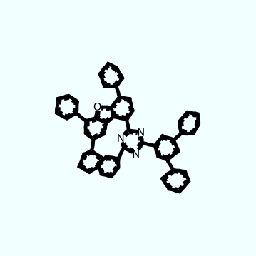 c1ccc(-c2cc(-c3ccccc3)cc(-c3nc(-c4ccccc4)nc(-c4ccc(-c5ccccc5)c5oc6c(-c7ccccc7)cc(-c7ccccc7)cc6c45)n3)c2)cc1